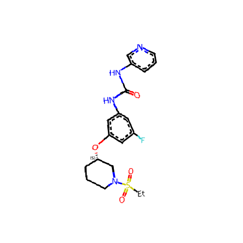 CCS(=O)(=O)N1CCC[C@H](Oc2cc(F)cc(NC(=O)Nc3cccnc3)c2)C1